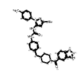 Cc1ccc(-n2nc(C(C)(C)C)cc2NC(=O)Nc2ccc(CC3CCN(C(=O)c4ccc5nn[nH]c5c4)CC3)cc2)cc1